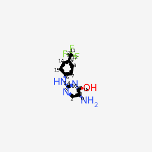 Nc1cnc(Nc2ccc(C(F)(F)F)cc2)nc1O